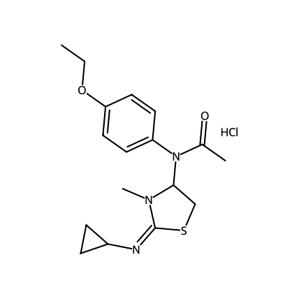 CCOc1ccc(N(C(C)=O)C2CSC(=NC3CC3)N2C)cc1.Cl